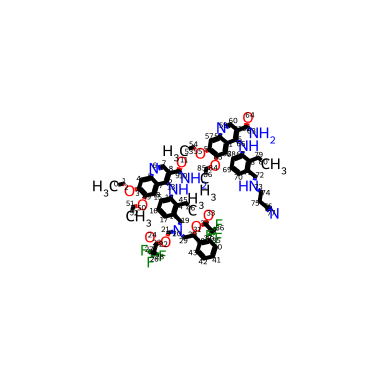 CCOc1cc2ncc(C(N)=O)c(Nc3cccc(CN(COC(=O)C(F)(F)F)CC(OC(=O)C(F)(F)F)c4ccccc4)c3CC)c2cc1OCC.CCOc1cc2ncc(C(N)=O)c(Nc3cccc(CNCCC#N)c3CC)c2cc1OCC